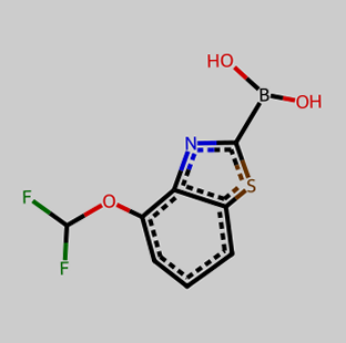 OB(O)c1nc2c(OC(F)F)cccc2s1